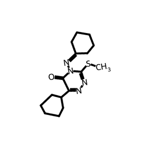 CSc1nnc(C2CCCCC2)c(=O)n1N=C1CCCCC1